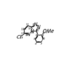 COc1ccccc1-c1nnc2ccc(Cl)nn12